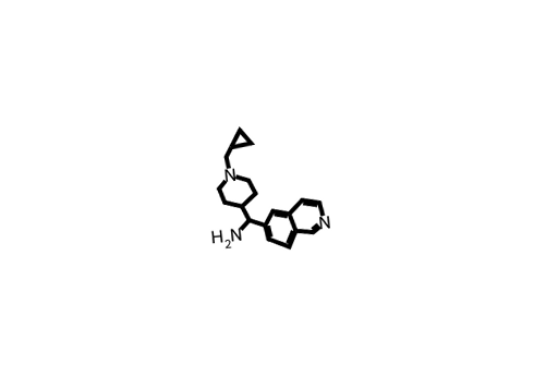 NC(c1ccc2cnccc2c1)C1CCN(CC2CC2)CC1